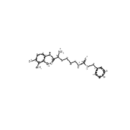 Nc1c(Br)ccc(NC(=O)C(N)CCCCNC(=O)OCc2ccccc2)c1Br